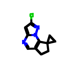 Clc1cc2ncc3c(n2n1)C1(CC3)CC1